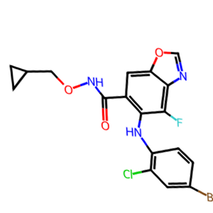 O=C(NOCC1CC1)c1cc2ocnc2c(F)c1Nc1ccc(Br)cc1Cl